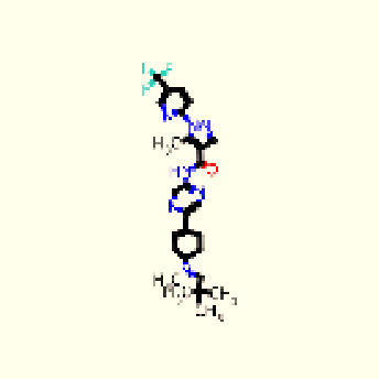 Cc1c(C(=O)Nc2cnc(C3=CCC(N(C)CC(C)(C)C)CC3)cn2)cnn1-c1ccc(C(F)(F)F)cn1